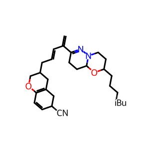 C=C(/C=C/CC1COC2=C(CC(C#N)C=C2)C1)C1=NN2CCC(CCCC(C)CC)OC2CC1